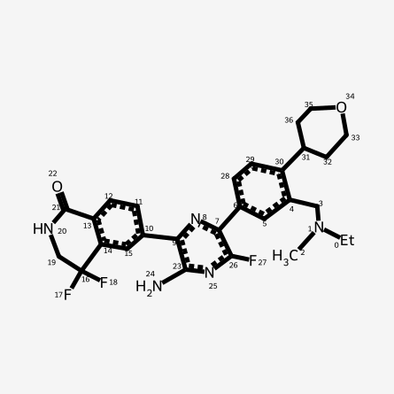 CCN(C)Cc1cc(-c2nc(-c3ccc4c(c3)C(F)(F)CNC4=O)c(N)nc2F)ccc1C1CCOCC1